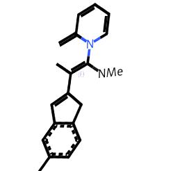 C=C1C=CC=CN1/C(NC)=C(\C)C1=Cc2cc(C)ccc2C1